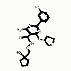 N#Cc1cccc(-c2nc(N)c(C(=O)NOCC3(O)CCCC3)c(O[C@H]3CCOC3)n2)c1